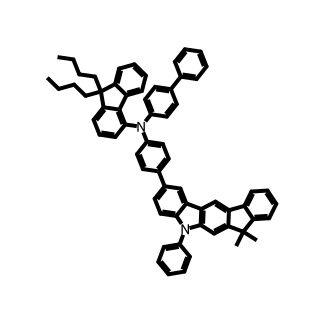 CCCCC1(CCCC)c2ccccc2-c2c(N(c3ccc(-c4ccccc4)cc3)c3ccc(-c4ccc5c(c4)c4cc6c(cc4n5-c4ccccc4)C(C)(C)c4ccccc4-6)cc3)cccc21